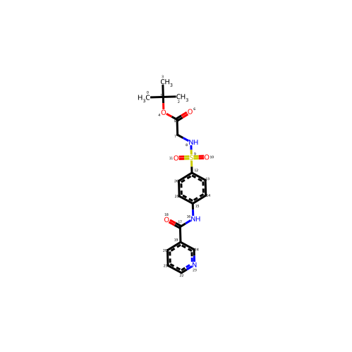 CC(C)(C)OC(=O)CNS(=O)(=O)c1ccc(NC(=O)c2cccnc2)cc1